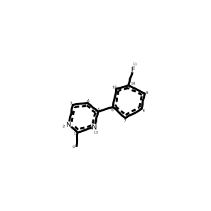 Cc1nccc(-c2cccc(F)c2)n1